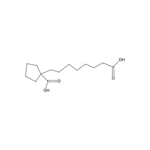 O=C(O)CCCCCCCC1(C(=O)O)CCCC1